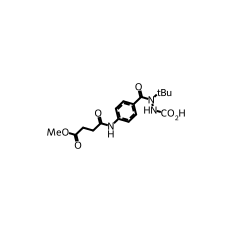 COC(=O)CCC(=O)Nc1ccc(C(=O)N(NC(=O)O)C(C)(C)C)cc1